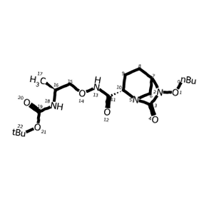 CCCCON1C(=O)N2CC1CC[C@H]2C(=O)NOC[C@H](C)NC(=O)OC(C)(C)C